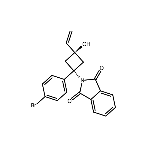 C=C[C@]1(O)C[C@](c2ccc(Br)cc2)(N2C(=O)c3ccccc3C2=O)C1